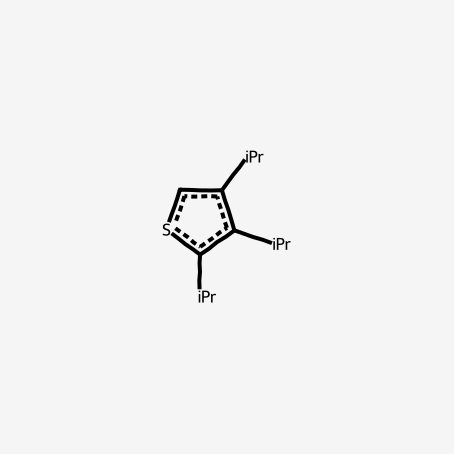 CC(C)c1csc(C(C)C)c1C(C)C